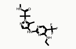 CCNc1nc(Nc2cnn(C(C)(C)C(=O)NC)c2C)ncc1C(F)(F)F